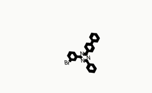 BrC1C=CC=C(c2nc(-c3ccccc3)nc(-c3ccc(-c4ccccc4)cc3)n2)C1